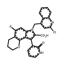 O=C(O)c1c(-c2ccc[nH]c2=O)c2c3c(c(F)cc2n1Cc1cc(Cl)nc2ccccc12)CCCO3